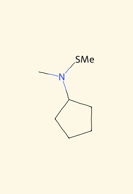 CSN(C)C1CCCC1